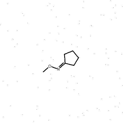 CON=C1C[CH]CC1